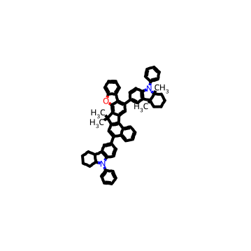 CC1(C)c2cc(-c3ccc4c(c3)C3CCCCC3N4c3ccccc3)c3ccccc3c2-c2cc(-c3ccc4c(c3)C3(C)CCCCC3(C)N4c3ccccc3)c3c(oc4ccccc43)c21